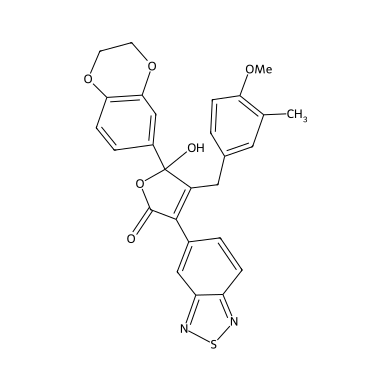 COc1ccc(CC2=C(c3ccc4nsnc4c3)C(=O)OC2(O)c2ccc3c(c2)OCCO3)cc1C